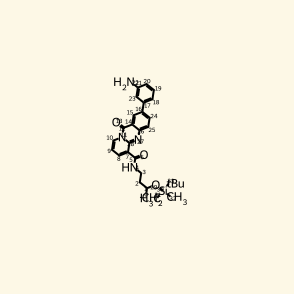 [CH2]C(CCNC(=O)c1cccn2c(=O)c3cc(-c4cccc(N)c4)ccc3nc12)O[Si](C)(C)C(C)(C)C